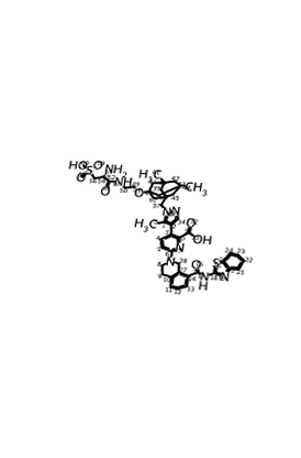 Cc1c(-c2ccc(N3CCc4cccc(C(=O)Nc5nc6ccccc6s5)c4C3)nc2C(=O)O)cnn1CC12CC3(C)CC(C)(C1)CC(OCCNC(=O)[C@@H](N)CS(=O)(=O)O)(C3)C2